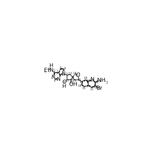 CCNc1ncnc2c1ccn2C1CC2(COC(c3ccc4cc(Br)c(N)nc4c3)C2)C(O)C1O